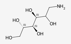 NCC(O)[C@H](O)[C@@H](O)[C@@H](O)CO